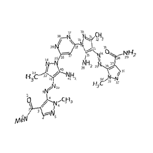 CNC(=O)c1cnn(C)c1N=Nc1c(C)nn(-c2cc(-n3nc(C)c(N=Nc4c(C(N)=O)cnn4C)c3N)ncn2)c1N